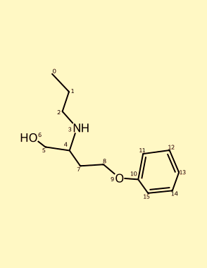 CCCNC(CO)CCOc1ccccc1